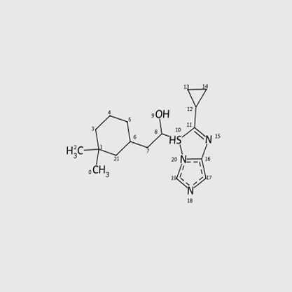 CC1(C)CCCC(CC(O)[SH]2C(C3CC3)=Nc3cncn32)C1